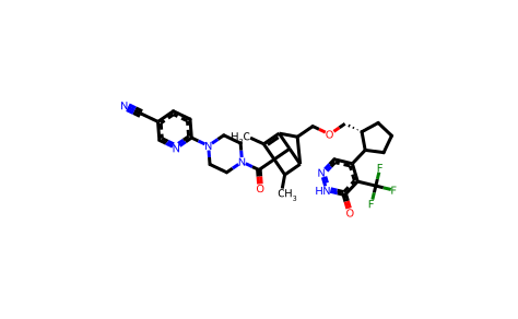 CC1=C2C(COC[C@@H]3CCCC3c3cn[nH]c(=O)c3C(F)(F)F)C3C(C)C1(C(=O)N1CCN(c4ccc(C#N)cn4)CC1)C23